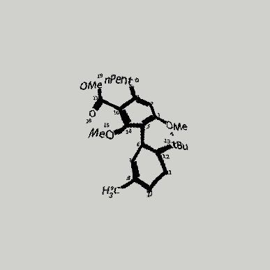 CCCCCc1cc(OC)c(C2C=C(C)CCC2C(C)(C)C)c(OC)c1C(=O)OC